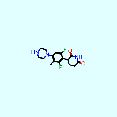 Cc1c(N2CCNCC2)cc(F)c(C2CCC(=O)NC2=O)c1F